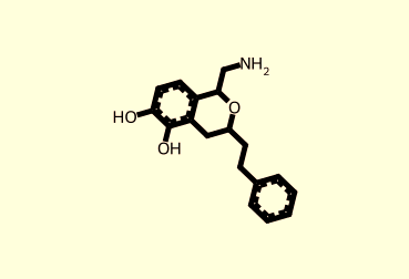 NCC1OC(CCc2ccccc2)Cc2c1ccc(O)c2O